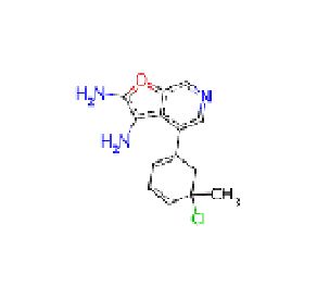 CC1(Cl)C=CC=C(c2cncc3oc(N)c(N)c23)C1